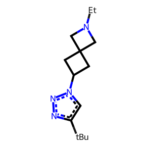 CCN1CC2(CC(n3cc(C(C)(C)C)nn3)C2)C1